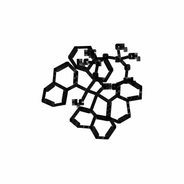 CC(c1cccc2ccccc12)(c1cccc2ccccc12)C(c1cccc2ccccc12)(c1cccc2ccccc12)[SiH]1O[SiH2]O[Si](C)(C)O[Si](C)(C)O1